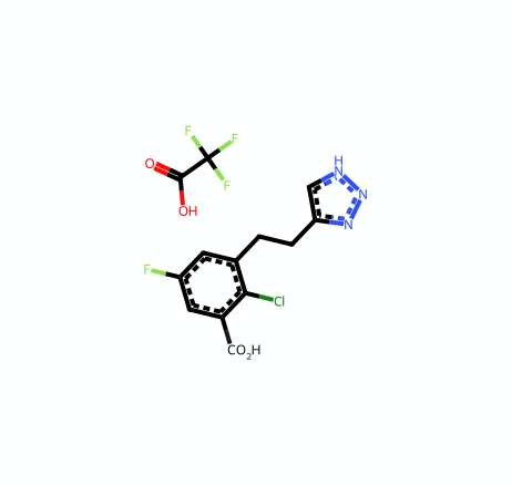 O=C(O)C(F)(F)F.O=C(O)c1cc(F)cc(CCc2c[nH]nn2)c1Cl